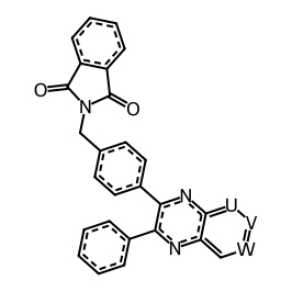 O=C1c2ccccc2C(=O)N1Cc1ccc(-c2n[c]3c(nc2-c2ccccc2)=[CH][W]=[V][U]=3)cc1